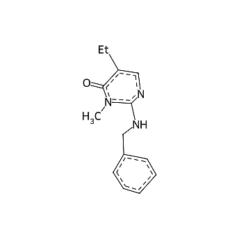 CCc1cnc(NCc2ccccc2)n(C)c1=O